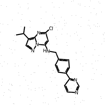 CC(C)c1cnn2c(NCc3ccc(-c4ccncn4)cc3)cc(Cl)nc12